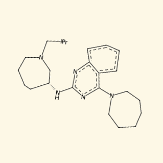 CC(C)CN1CCCC[C@@H](Nc2nc(N3CCCCCC3)c3ccccc3n2)C1